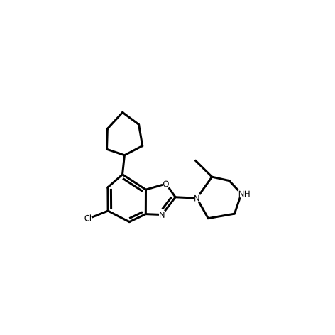 CC1CNCCN1c1nc2cc(Cl)cc(C3CCCCC3)c2o1